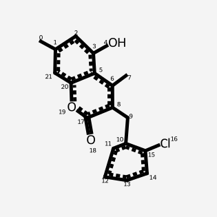 Cc1cc(O)c2c(C)c(Cc3ccccc3Cl)c(=O)oc2c1